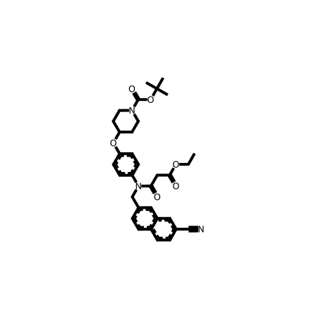 CCOC(=O)CC(=O)N(Cc1ccc2ccc(C#N)cc2c1)c1ccc(OC2CCN(C(=O)OC(C)(C)C)CC2)cc1